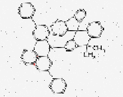 CC1(C)c2ccccc2C2(c3ccccc3-c3ccccc32)c2cc(N(c3cccc(-c4ccccc4)c3)c3ccc(-c4ccccc4)cc3-c3ccccc3)ccc21